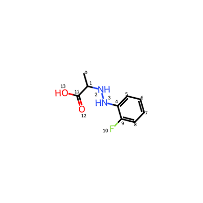 CC(NNc1ccccc1F)C(=O)O